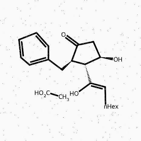 CC(=O)O.CCCCCCC=C(O)[C@H]1[C@H](O)CC(=O)[C@@H]1Cc1ccccc1